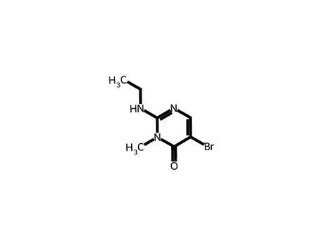 CCNc1ncc(Br)c(=O)n1C